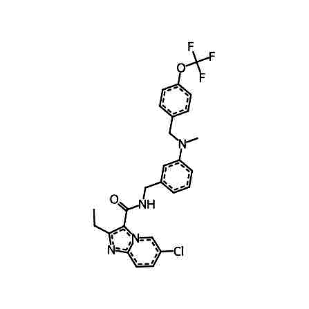 CCc1nc2ccc(Cl)cn2c1C(=O)NCc1cccc(N(C)Cc2ccc(OC(F)(F)F)cc2)c1